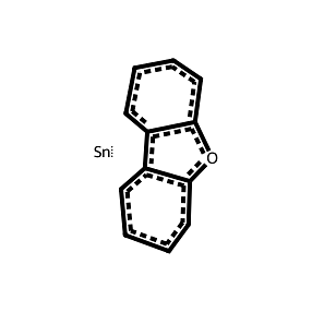 [Sn].c1ccc2c(c1)oc1ccccc12